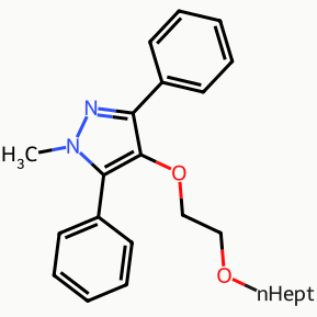 CCCCCCCOCCOc1c(-c2ccccc2)nn(C)c1-c1ccccc1